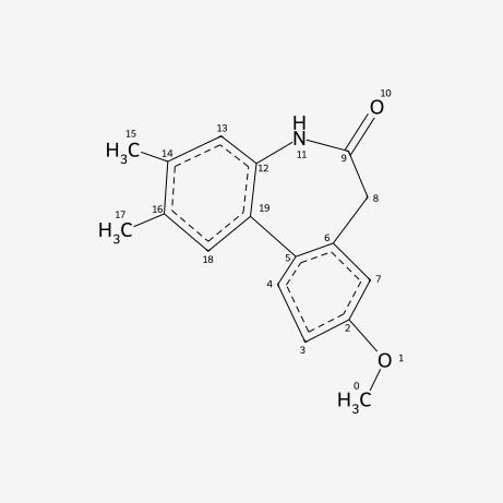 COc1ccc2c(c1)CC(=O)Nc1cc(C)c(C)cc1-2